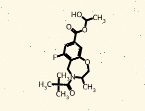 CC(O)OC(=O)c1cc(F)c2c(c1)OCC(C)N(C(=O)C(C)(C)C)C2